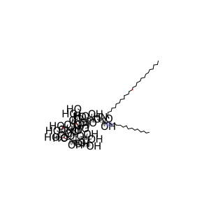 CCCCCCCCCCCCC/C=C/[C@@H](O)[C@H](CO[C@@H]1OC(CO)[C@@H](O[C@@H]2OC(CO)[C@H](O)[C@H](O[C@@H]3OC(CO)[C@@H](O[C@H]4OC(C)[C@@H](O)C(O)[C@@H]4O)[C@H](O[C@@H]4OC(CO)[C@H](O)[C@H](O)C4O[C@H]4OC(C)[C@@H](O)C(O)[C@@H]4O)C3NC(C)=O)C2O)[C@H](O)C1O)NC(=O)CCCCCCCCCCCCCCCCCCCCCCCCC